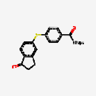 CCCCCCCC(=O)c1ccc(Sc2ccc3c(c2)CCC3=O)cc1